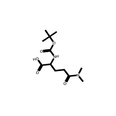 CN(C)C(=O)CCC(NC(=O)OC(C)(C)C)C(=O)O